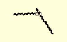 CCCCCCCCCCCCCCON(CCC)OCCCCCCCCCCCCCC